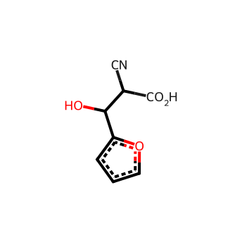 N#CC(C(=O)O)C(O)c1ccco1